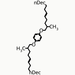 CCCCCCCCCCCCC=CCCC(C)COc1ccc(OCC(C)CCC=CCCCCCCCCCCCC)cc1